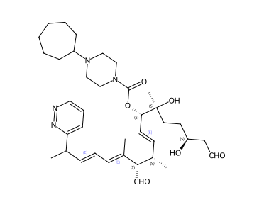 C/C(=C\C=C\C(C)c1cccnn1)[C@@H](C=O)[C@@H](C)/C=C/[C@H](OC(=O)N1CCN(C2CCCCCC2)CC1)[C@@](C)(O)CC[C@H](O)CC=O